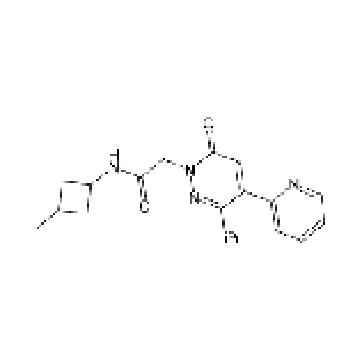 CC1CC(NC(=O)Cn2nc(C(C)C)c(-c3ccccn3)cc2=O)C1